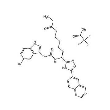 CCC(=O)CCCCC[C@H](NC(=O)Cc1c[nH]c2ccc(Br)cc12)c1ncc(-c2ccc3ccccc3c2)[nH]1.O=C(O)C(F)(F)F